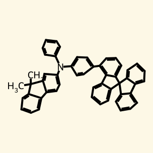 CC1(C)c2ccccc2-c2ccc(N(c3ccccc3)c3ccc(-c4cccc5c4-c4ccccc4C54c5ccccc5-c5ccccc54)cc3)cc21